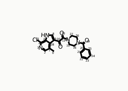 Cc1cnc(Cl)c2[nH]cc(C(=O)C(=O)N3CCN(C(=O)c4ccccc4)CC3)c12